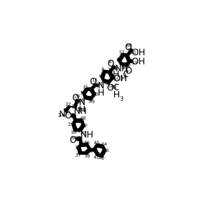 COc1c(NC(=O)c2ccc(NC(=O)c3ccc(NC(=O)[C@H](CC#N)NC(=O)c4ccc(NC(=O)c5cccc(-c6ccccc6)c5)cc4)cc3)c(OC)c2O)ccc(C(=O)O)c1O